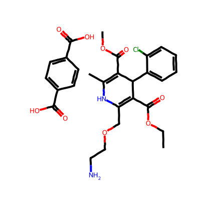 CCOC(=O)C1=C(COCCN)NC(C)=C(C(=O)OC)C1c1ccccc1Cl.O=C(O)c1ccc(C(=O)O)cc1